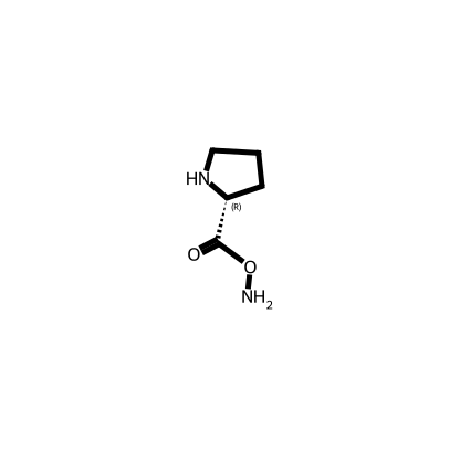 NOC(=O)[C@H]1CCCN1